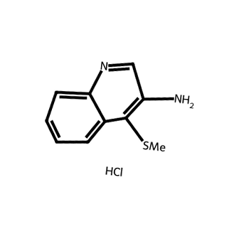 CSc1c(N)cnc2ccccc12.Cl